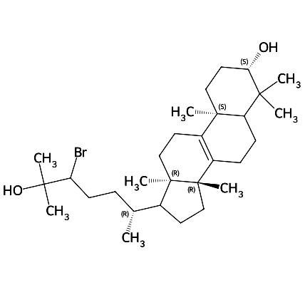 C[C@H](CCC(Br)C(C)(C)O)C1CC[C@@]2(C)C3=C(CC[C@]12C)[C@@]1(C)CC[C@H](O)C(C)(C)C1CC3